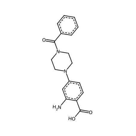 Nc1cc(N2CCN(C(=O)c3ccccc3)CC2)ccc1C(=O)O